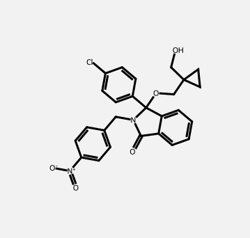 O=C1c2ccccc2C(OCC2(CO)CC2)(c2ccc(Cl)cc2)N1Cc1ccc([N+](=O)[O-])cc1